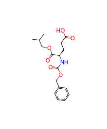 CC(C)COC(=O)[C@@H](CCC(=O)O)NC(=O)OCc1ccccc1